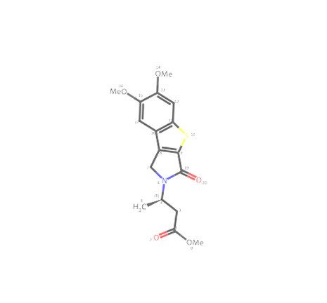 COC(=O)C[C@@H](C)N1Cc2c(sc3cc(OC)c(OC)cc23)C1=O